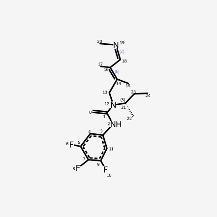 C=C(Nc1cc(F)c(F)c(F)c1)N(C/C(C)=C(C)/C=N\C)[C@@H](C)CC